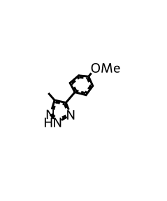 COc1ccc(-c2n[nH]nc2C)cc1